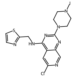 Clc1cc2c(NCc3nccs3)nc(N3CCN(I)CC3)nc2cn1